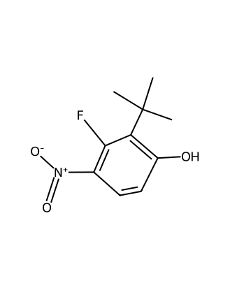 CC(C)(C)c1c(O)ccc([N+](=O)[O-])c1F